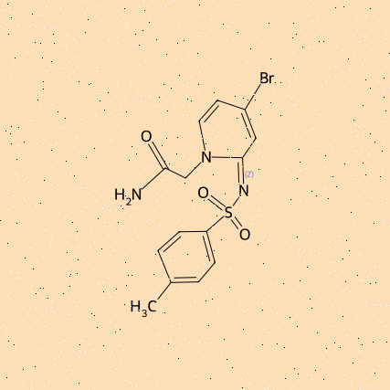 Cc1ccc(S(=O)(=O)/N=c2/cc(Br)ccn2CC(N)=O)cc1